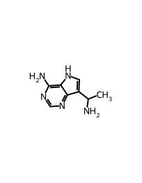 CC(N)c1c[nH]c2c(N)ncnc12